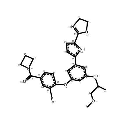 COCC(C)Oc1cc(Oc2ccc(C(=O)N3CCC3)cc2F)cc(-c2ccc(C3=NCCO3)[nH]2)c1